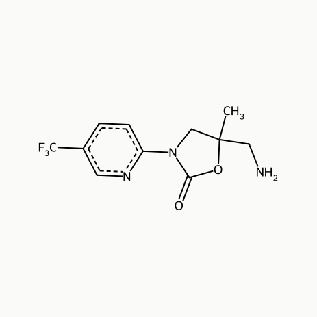 CC1(CN)CN(c2ccc(C(F)(F)F)cn2)C(=O)O1